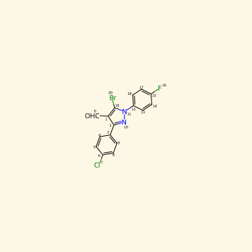 O=Cc1c(-c2ccc(Cl)cc2)nn(-c2ccc(F)cc2)c1Br